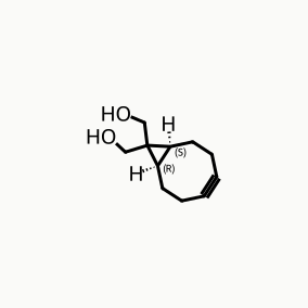 OCC1(CO)[C@@H]2CCC#CCC[C@@H]21